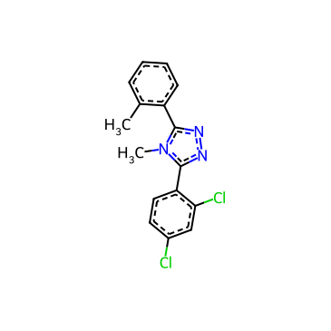 Cc1ccccc1-c1nnc(-c2ccc(Cl)cc2Cl)n1C